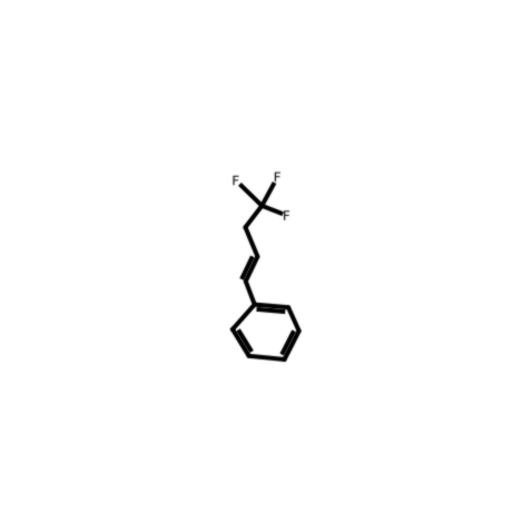 FC(F)(F)C/C=C/c1ccccc1